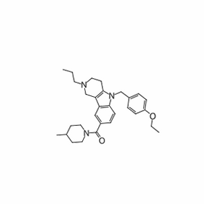 CCCN1CCc2c(c3cc(C(=O)N4CCC(C)CC4)ccc3n2Cc2ccc(OCC)cc2)C1